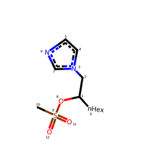 CCCCCCC(Cn1ccnc1)OS(C)(=O)=O